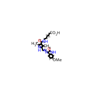 COc1ccc2c(c1)NC(=O)C2=NN=Cc1[nH]c(C)c(C(=O)NCCCCCC(=O)O)c1C